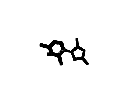 CC1CC(C)[C@H](n2ccc(=O)[nH]c2=O)O1